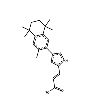 Cc1cc2c(cc1-c1c[nH]c(C=CC(=O)O)c1)C(C)(C)CCC2(C)C